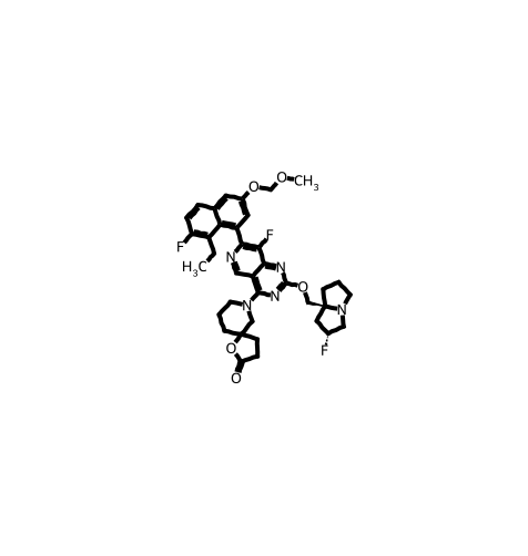 CCc1c(F)ccc2cc(OCOC)cc(-c3ncc4c(N5CCCC6(CCC(=O)O6)C5)nc(OC[C@@]56CCCN5C[C@H](F)C6)nc4c3F)c12